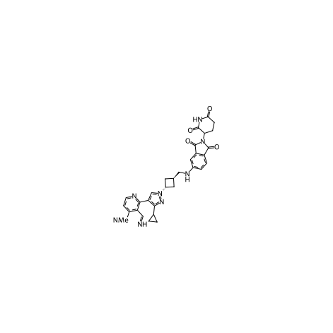 CNc1ccnc(-c2cn([C@H]3C[C@H](CNc4ccc5c(c4)C(=O)N(C4CCC(=O)NC4=O)C5=O)C3)nc2C2CC2)c1C=N